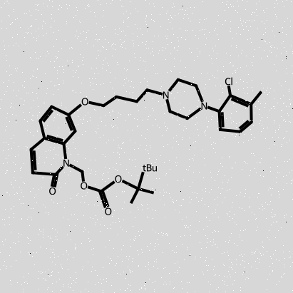 Cc1cccc(N2CCN(CCCCOc3ccc4ccc(=O)n(COC(=O)OC(C)(C)C(C)(C)C)c4c3)CC2)c1Cl